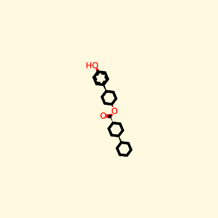 O=C(O[C@H]1CC[C@H](c2ccc(O)cc2)CC1)[C@H]1CC[C@H](C2CCCCC2)CC1